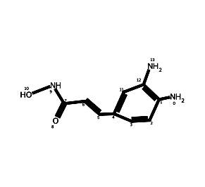 Nc1ccc(/C=C/C(=O)NO)cc1N